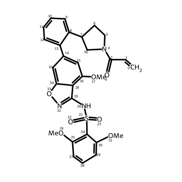 C=CC(=O)N1CCC(c2ccccc2-c2cc(OC)c3c(NS(=O)(=O)c4c(OC)cccc4OC)noc3c2)C1